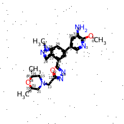 COc1ncc(-c2cc(-c3nnc(CN4C[C@@H](C)O[C@@H](C)C4)o3)c3cnn(C)c3c2)cc1N